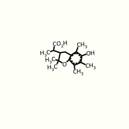 Cc1c(C)c2c(c(C)c1O)CC(C(C)C(=O)O)C(C)(C)O2